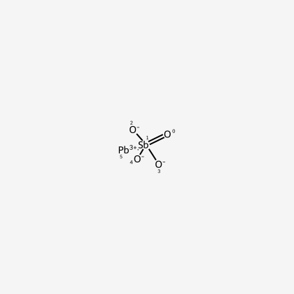 [O]=[Sb]([O-])([O-])[O-].[Pb+3]